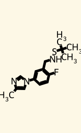 Cc1cn(-c2ccc(F)c(CNSC(C)(C)C)c2)cn1